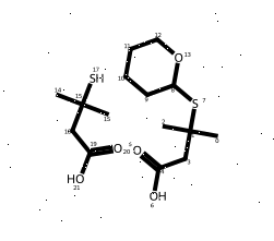 CC(C)(CC(=O)O)SC1CCCCO1.CC(C)(S)CC(=O)O